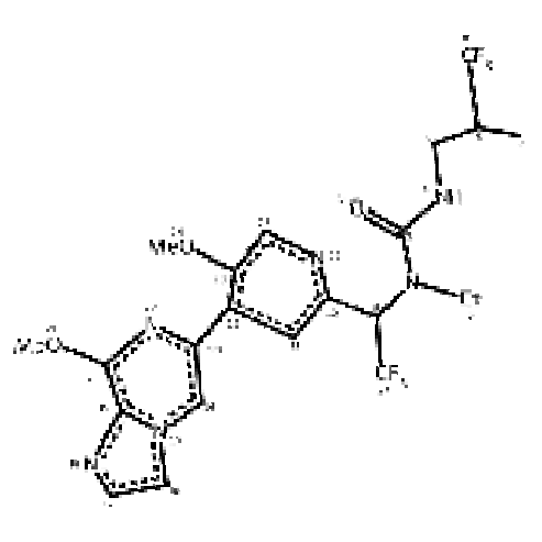 CCN(C(=O)NCC(C)C(F)(F)F)C(c1cc(-c2cn3ccnc3c(OC)n2)c(OC)cn1)C(F)(F)F